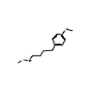 CONCCCCc1ccc(OC)cc1